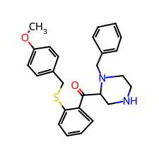 COc1ccc(CSc2ccccc2C(=O)C2CNCCN2Cc2ccccc2)cc1